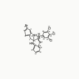 NC1(Cc2ccc(Br)cc2)Nc2ccccc2N=C1Nc1cc(Cl)c(Cl)c(Cl)c1